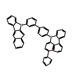 c1ccc(-c2ccc(N(c3ccc(-c4cccc(-n5c6ccccc6c6cc7ccccc7cc65)c4)cc3)c3ccccc3-c3ccccc3)cc2)cc1